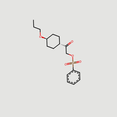 CCCO[C@H]1CC[C@H](C(=O)COS(=O)(=O)c2ccccc2)CC1